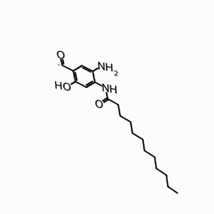 CCCCCCCCCCCC(=O)Nc1cc(O)c([C]=O)cc1N